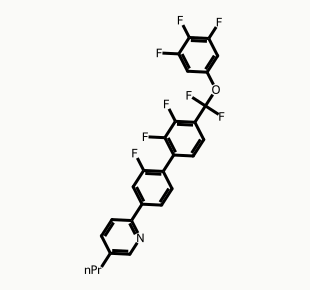 CCCc1ccc(-c2ccc(-c3ccc(C(F)(F)Oc4cc(F)c(F)c(F)c4)c(F)c3F)c(F)c2)nc1